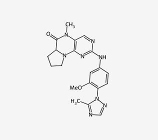 COc1cc(Nc2ncc3c(n2)N2CCCC2C(=O)N3C)ccc1-n1ncnc1C